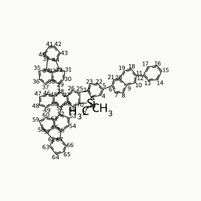 C[Si]1(C)c2cc(-c3ccc4cc(-c5ccccc5)ccc4c3)ccc2-c2cc3c(-c4ccc5c6c(cccc46)-c4ccccc4-5)c4ccccc4c(-c4ccc5c6c(cccc46)-c4ccccc4-5)c3cc21